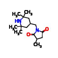 CC1CC(=O)N(CC2CC(C)(C)NC(C)(C)C2)C1=O